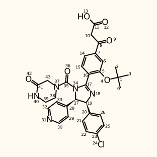 CC(C)(C)Oc1cc(C(=O)CC(=O)O)ccc1C1=N[C@@H](c2ccc(Cl)cc2)[C@@H](c2ccncc2)N1C(=O)N1CCNC(=O)C1